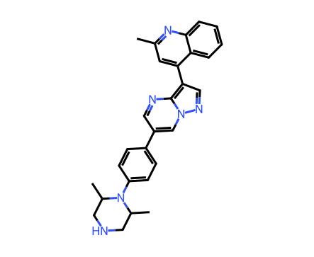 Cc1cc(-c2cnn3cc(-c4ccc(N5C(C)CNCC5C)cc4)cnc23)c2ccccc2n1